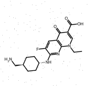 CCn1cc(C(=O)O)c(=O)c2cc(F)c(N[C@H]3CC[C@H](CN)CC3)nc21